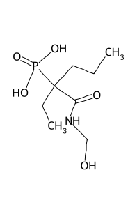 CCCC(CC)(C(=O)NCO)P(=O)(O)O